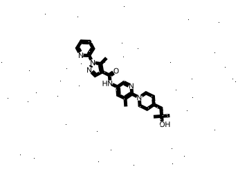 Cc1cc(NC(=O)c2cnn(-c3ccccn3)c2C)cnc1N1CCC(CC(C)(C)O)CC1